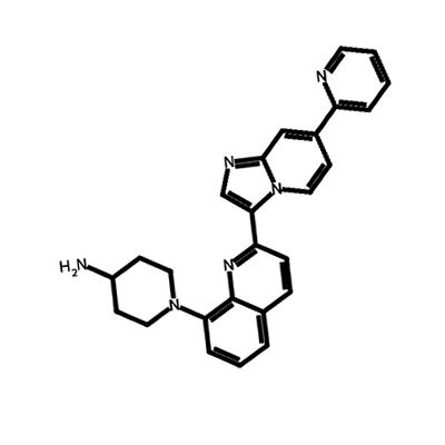 NC1CCN(c2cccc3ccc(-c4cnc5cc(-c6ccccn6)ccn45)nc23)CC1